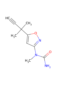 C#CC(C)(C)c1cc(N(C)C(N)=O)no1